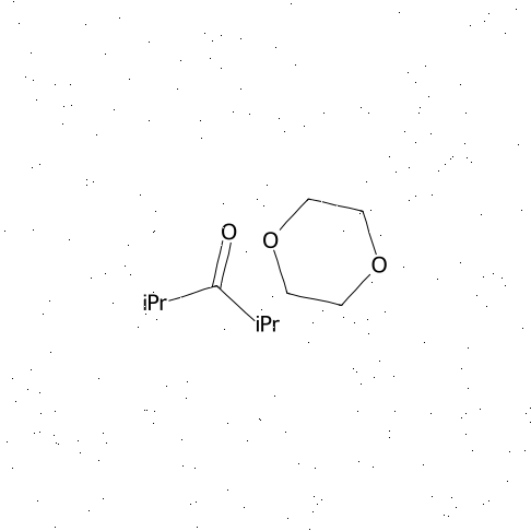 C1COCCO1.CC(C)C(=O)C(C)C